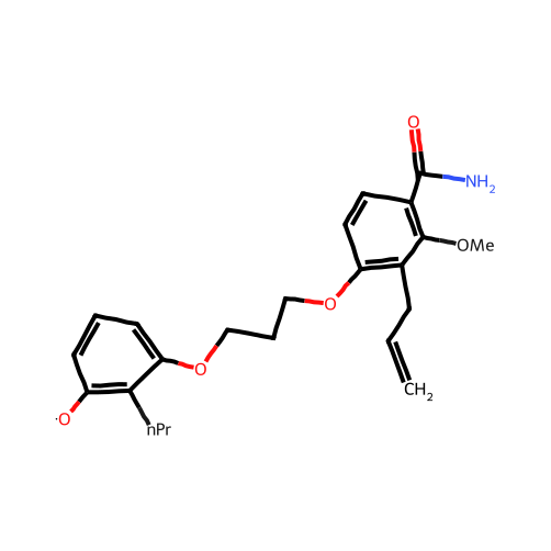 C=CCc1c(OCCCOc2cccc([O])c2CCC)ccc(C(N)=O)c1OC